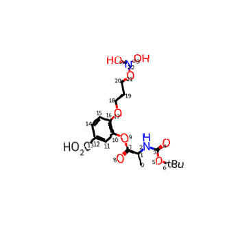 CC(NC(=O)OC(C)(C)C)C(=O)Oc1cc(C(=O)O)ccc1OCCCON(O)O